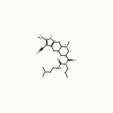 CCCN(C(=O)NCCN(C)C)C(=O)C1CC2Cc3c(sc(N)c3C#N)CC2N(C)C1